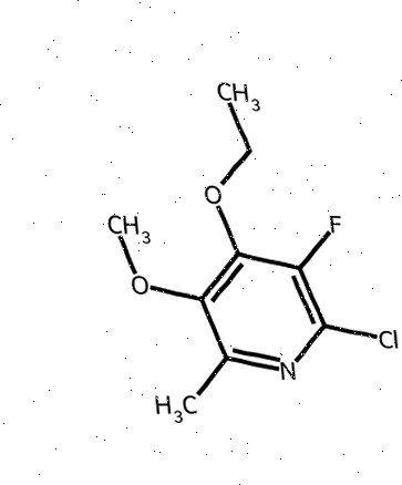 CCOc1c(F)c(Cl)nc(C)c1OC